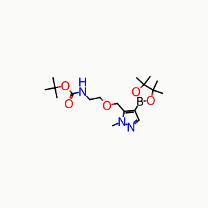 Cn1ncc(B2OC(C)(C)C(C)(C)O2)c1COCCNC(=O)OC(C)(C)C